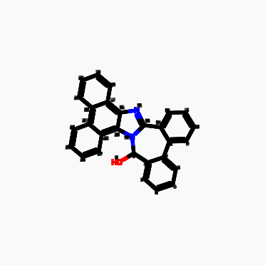 OC1c2ccccc2-c2ccccc2-c2nc3c4ccccc4c4ccccc4c3n21